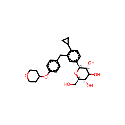 OC[C@H]1O[C@@H](c2ccc(C3CC3)c(Cc3ccc(OC4CCOCC4)cc3)c2)[C@H](O)C(O)[C@@H]1O